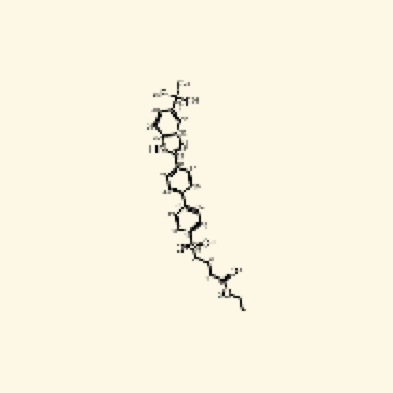 CCOC(=O)CCCS(=O)(=O)c1ccc(-c2ccc(-c3nc4cc(C(F)(F)F)ccc4[nH]3)cc2)cc1